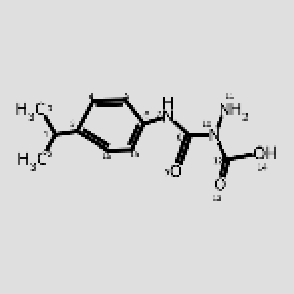 CC(C)c1ccc(NC(=O)N(N)C(=O)O)cc1